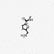 CNC(=O)[C@@H]1CCC(CN)O1